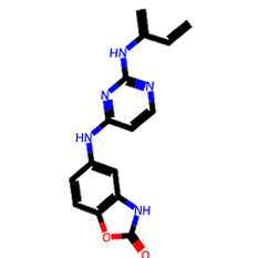 C=CC(=C)Nc1nccc(Nc2ccc3oc(=O)[nH]c3c2)n1